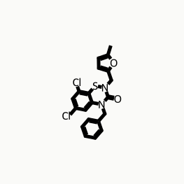 Cc1ccc(CN2Sc3c(Cl)cc(Cl)cc3N(Cc3ccccc3)C2=O)o1